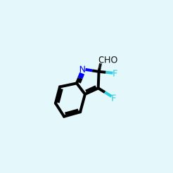 O=CC1(F)N=c2ccccc2=C1F